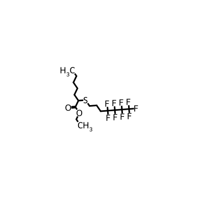 CCCCCC(SCCCC(F)(F)C(F)(F)C(F)(F)C(F)(F)F)C(=O)OCC